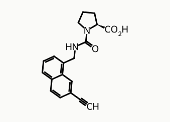 C#Cc1ccc2cccc(CNC(=O)N3CCC[C@H]3C(=O)O)c2c1